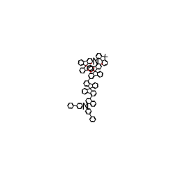 CC1(C)c2ccccc2-c2c(N(c3ccc4c(c3)C3(c5ccccc5-c5ccccc53)c3ccccc3-4)c3cccc4c3-c3ccccc3C43c4ccccc4-c4cc(-c5cccc6c5-c5ccccc5C65c6ccccc6-c6c(-c7ccc(N(c8ccc(-c9ccccc9)cc8)c8ccc(-c9ccccc9)cc8)c8ccccc78)cccc65)ccc43)cccc21